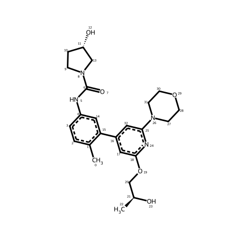 Cc1ccc(NC(=O)N2CC[C@H](O)C2)cc1-c1cc(OC[C@H](C)O)nc(N2CCOCC2)c1